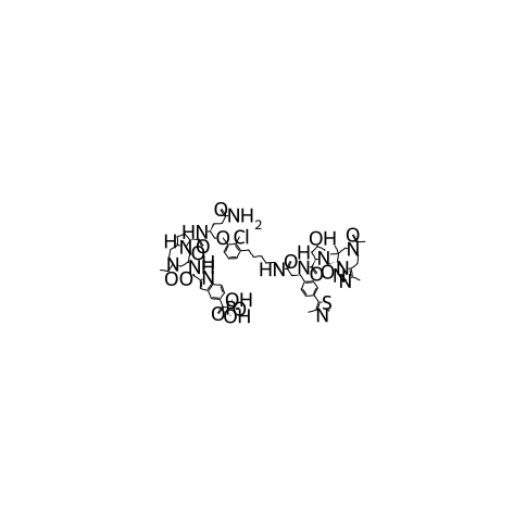 CC(=O)N1CC[C@H]2CC[C@@H](C(=O)N[C@@H](CCC(N)=O)COc3cccc(CCCCCNC(=O)C[C@@H](NC(=O)[C@H]4C[C@H](O)CN4C(=O)[C@H]4n5nnc(C)c5CCN(C(C)=O)CC4(C)C)c4ccc(-c5scnc5C)cc4)c3Cl)N2C(=O)[C@@H](NC(=O)c2cc3cc(C(=O)P(=O)(O)O)ccc3[nH]2)C1